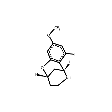 Fc1cc(OC(F)(F)F)cc2c1[C@H]1C[C@H](CCN1)O2